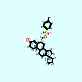 Cc1ccc(S(=O)(=O)OC[C@@H]2CC3C(CC[C@@]4(C)C3CC[C@@]43CCCO3)[C@H]3CCC(=O)C=C23)cc1